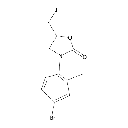 Cc1cc(Br)ccc1N1CC(CI)OC1=O